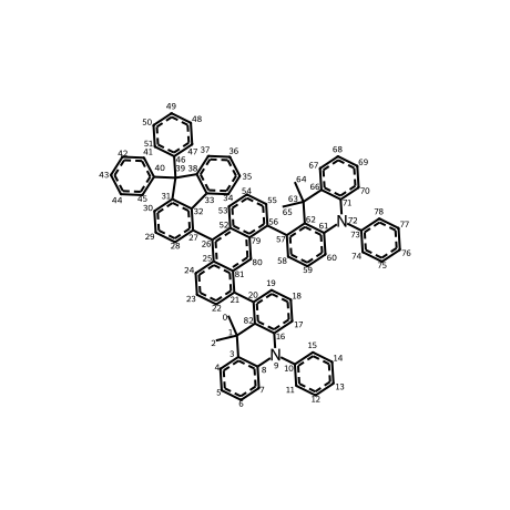 CC1(C)c2ccccc2N(c2ccccc2)c2cccc(-c3cccc4c(-c5cccc6c5-c5ccccc5C6(c5ccccc5)c5ccccc5)c5cccc(-c6cccc7c6C(C)(C)c6ccccc6N7c6ccccc6)c5cc34)c21